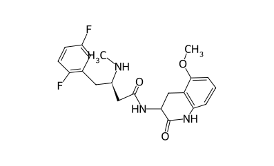 CN[C@@H](CC(=O)NC1Cc2c(cccc2OC)NC1=O)Cc1cc(F)ccc1F